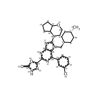 C[C@H]1CC[C@H](Cn2c(N3CCOC4CCCC43)nc3nc(-c4n[nH]c(=O)o4)nc(-c4cccc(Cl)c4)c32)CC1